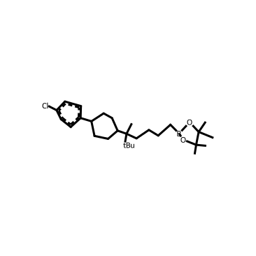 CC(C)(C)C(C)(CCCCB1OC(C)(C)C(C)(C)O1)C1CCC(c2ccc(Cl)cc2)CC1